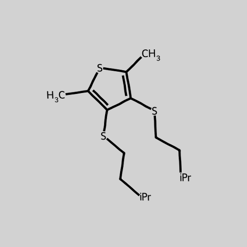 Cc1sc(C)c(SCCC(C)C)c1SCCC(C)C